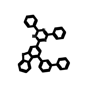 c1ccc(C2=NC(c3ccccc3)NC(c3cc(-c4cccc(-c5ccccc5)c4)c4c(c3)sc3ccccc34)=N2)cc1